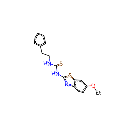 CCOc1ccc2nc(NC(=S)NCCc3ccccc3)sc2c1